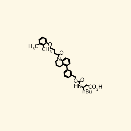 CCCCC(CC(=O)O)NC(=O)OCc1cccc(-c2cccc3c2CCCN3C(=O)CCCOc2cccc(C)c2C)c1